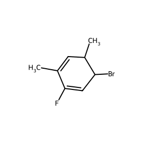 CC1=CC(C)C(Br)C=C1F